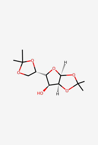 CC1(C)O[C@@H]2OC([C@@H]3COC(C)(C)O3)[C@H](O)[C@@H]2O1